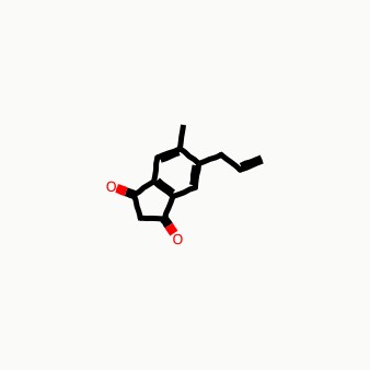 C=CCc1cc2c(cc1C)C(=O)CC2=O